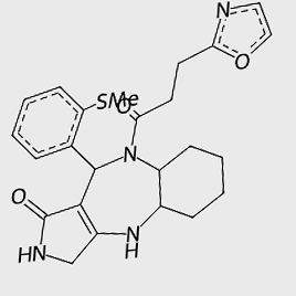 CSc1ccccc1C1C2=C(CNC2=O)NC2CCCCC2N1C(=O)CCc1ncco1